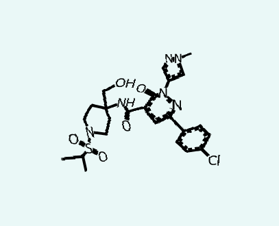 CC(C)S(=O)(=O)N1CCC(CO)(NC(=O)c2cc(-c3ccc(Cl)cc3)nn(-c3cnn(C)c3)c2=O)CC1